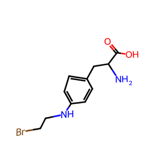 NC(Cc1ccc(NCCBr)cc1)C(=O)O